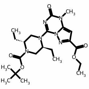 CCOC(=O)c1cc2n(C)c(=O)nc(N3C[C@@H](CC)N(C(=O)OC(C)(C)C)C[C@@H]3CC)n2n1